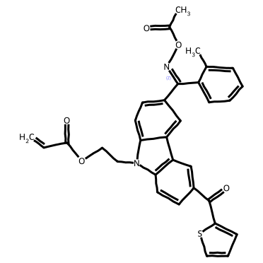 C=CC(=O)OCCn1c2ccc(C(=O)c3cccs3)cc2c2cc(/C(=N/OC(C)=O)c3ccccc3C)ccc21